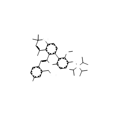 COc1c(O[Si](C(C)C)(C(C)C)C(C)C)ccc2c1-c1ccc3c(c1/C(=C/c1ccc(F)cc1CO)O2)C(C)=CC(C)(C)N3